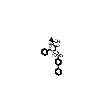 N#CC1(NC(=O)[C@H](CS(=O)(=O)c2ccc(-c3ccccc3)cc2)N[C@@H](c2ccccc2)C(F)(F)F)CC1